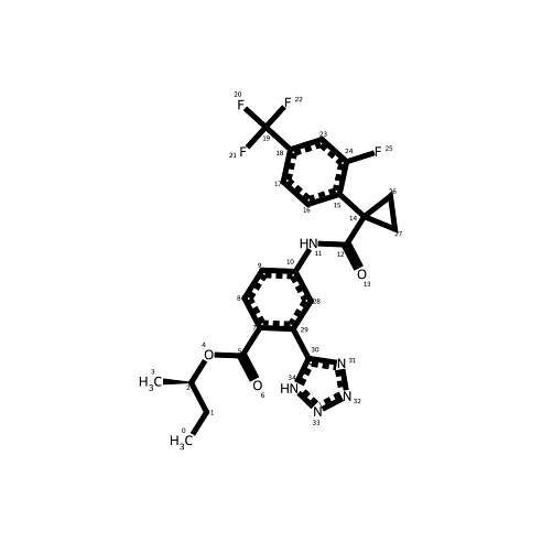 CC[C@@H](C)OC(=O)c1ccc(NC(=O)C2(c3ccc(C(F)(F)F)cc3F)CC2)cc1-c1nnn[nH]1